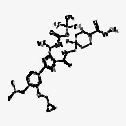 COC(=O)N1CCC(F)(CNC(=O)c2nc(-c3ccc(OC(F)F)c(OCC4CC4)c3)oc2C(C)NC(=O)OC(C)(C)C)CC1